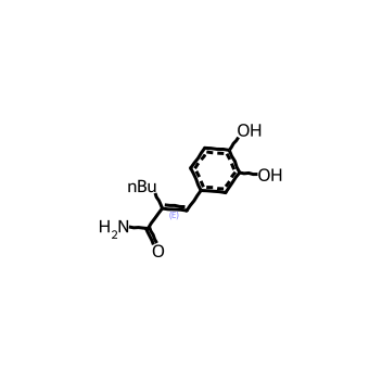 CCCC/C(=C\c1ccc(O)c(O)c1)C(N)=O